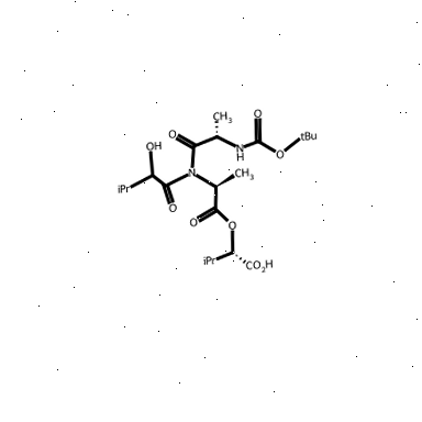 CC(C)C(O)C(=O)N(C(=O)[C@H](C)NC(=O)OC(C)(C)C)[C@@H](C)C(=O)O[C@H](C(=O)O)C(C)C